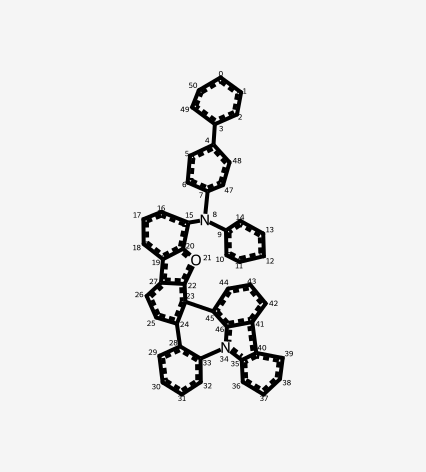 c1ccc(-c2ccc(N(c3ccccc3)c3cccc4c3oc3c5c(ccc34)-c3ccccc3-n3c4ccccc4c4cccc-5c43)cc2)cc1